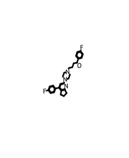 O=C(CCCN1CCN(c2cc(-c3ccc(F)cc3)c3c(n2)CCC3)CC1)c1ccc(F)cc1